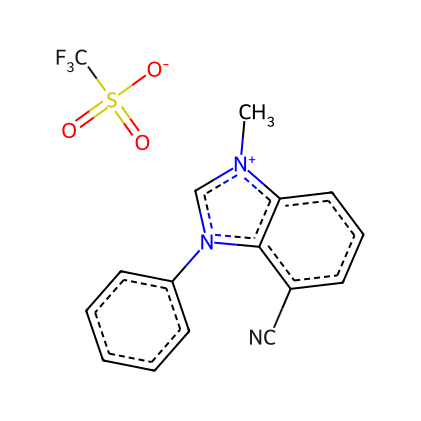 C[n+]1cn(-c2ccccc2)c2c(C#N)cccc21.O=S(=O)([O-])C(F)(F)F